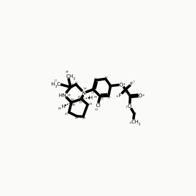 CCOC(=O)C(F)(F)OC1C=C(Cl)C(N2CC(C)(C)N[C@@H]3CCCC[C@@H]32)=CC1